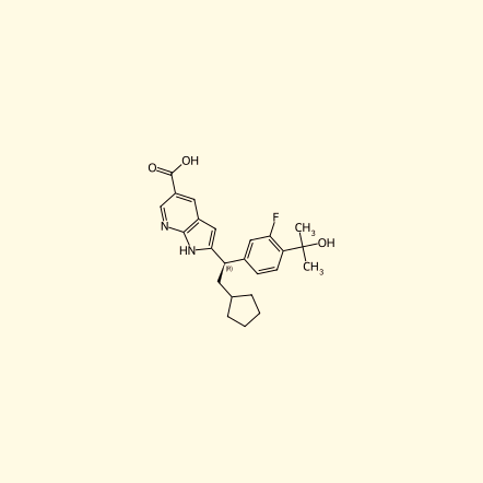 CC(C)(O)c1ccc([C@@H](CC2CCCC2)c2cc3cc(C(=O)O)cnc3[nH]2)cc1F